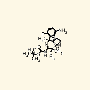 CC(C)(C)OC(=O)NC1=N[C@](C)(c2cc(N)ccc2F)[C@@H]2CCN=[S@]2(=O)C1(C)C